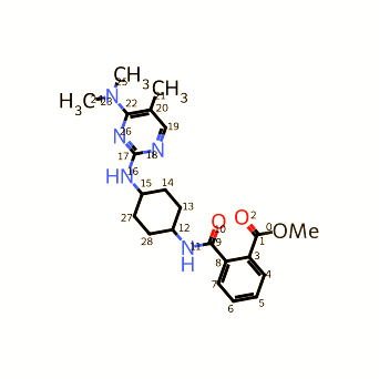 COC(=O)c1ccccc1C(=O)NC1CCC(Nc2ncc(C)c(N(C)C)n2)CC1